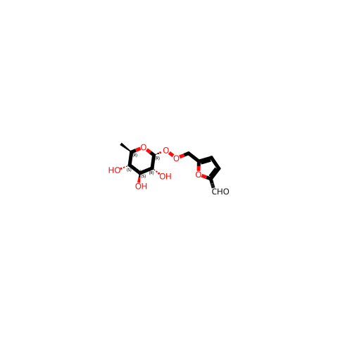 C[C@H]1O[C@H](OOCc2ccc(C=O)o2)[C@H](O)[C@@H](O)[C@@H]1O